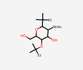 CCC(C)(C)OC1C(CO)OC(C(C)(C)CC)C(NC(C)=O)C1O